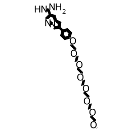 COCCOCCOCCOCCOCCOCCOCCOc1ccc(-c2cc3cc(C(=N)N)cnn3c2)cc1